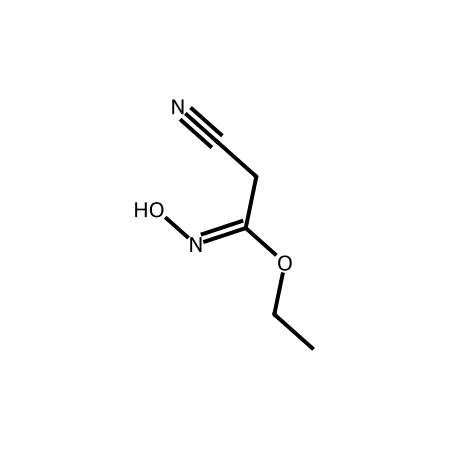 CCOC(CC#N)=NO